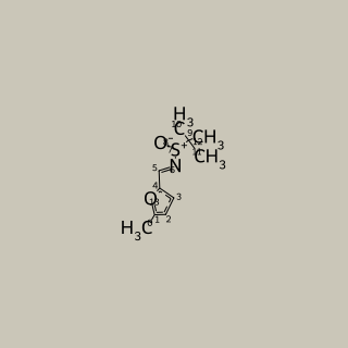 Cc1ccc(C=N[S@@+]([O-])C(C)(C)C)o1